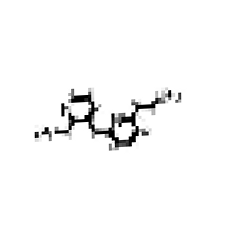 CC(C)Cc1ncccc1Cc1cccc(CCC(C)(C)C)n1